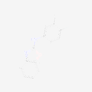 Fc1ccc(Nc2nc3ccccc3o2)cc1C(F)(F)F